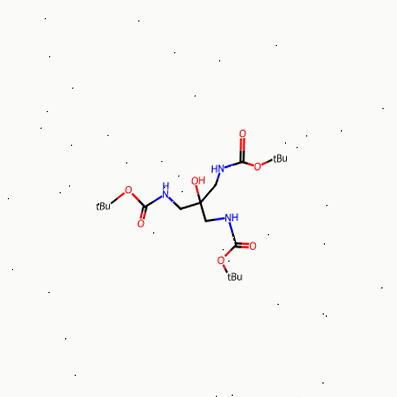 CC(C)(C)OC(=O)NCC(O)(CNC(=O)OC(C)(C)C)CNC(=O)OC(C)(C)C